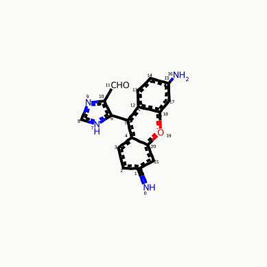 N=c1ccc2c(-c3[nH]cnc3C=O)c3ccc(N)cc3oc-2c1